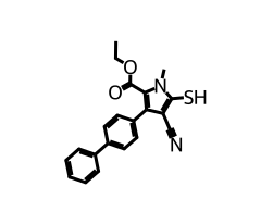 CCOC(=O)c1c(-c2ccc(-c3ccccc3)cc2)c(C#N)c(S)n1C